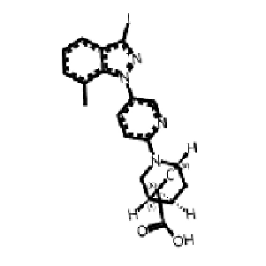 Cc1cccc2c(I)nn(-c3ccc(N4C[C@H]5CC[C@@H]4C[C@H]5C(=O)O)nc3)c12